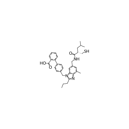 CCCc1nc2c(C)cc(CNC(=O)[C@@H](CS)CC(C)C)cc2n1Cc1ccc(-c2ccccc2C(=O)O)cc1